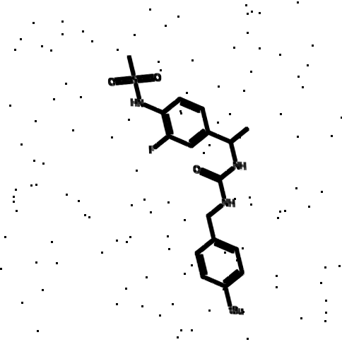 CC(NC(=O)NCc1ccc(C(C)(C)C)cc1)c1ccc(NS(C)(=O)=O)c(F)c1